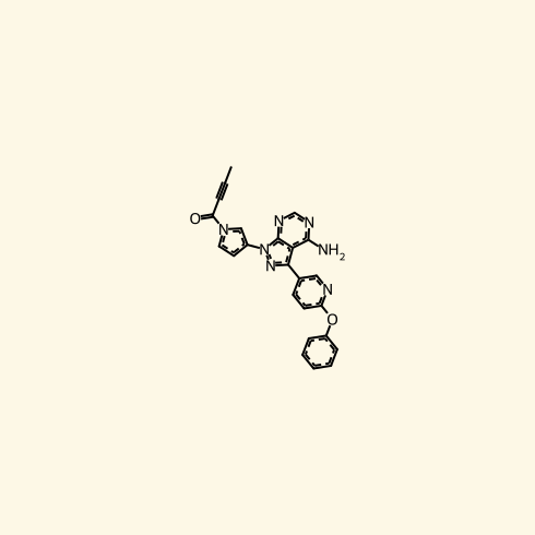 CC#CC(=O)n1ccc(-n2nc(-c3ccc(Oc4ccccc4)nc3)c3c(N)ncnc32)c1